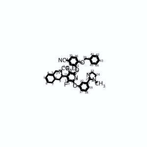 CCOC(=O)N1CC2=CC=CCC2CC1c1c(F)c(Oc2cccc(C3=NCCN3C)c2)nc(Oc2cc(C#N)ccc2OCc2ccccc2)c1F